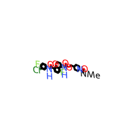 CNC(=O)N1CCC(COC(=O)N[C@H]2CCOc3c(C(=O)Nc4ccc(F)c(Cl)c4)ccc(F)c32)CC1